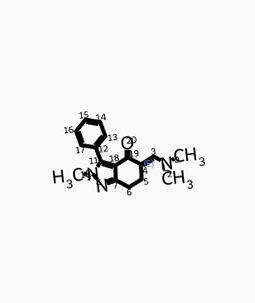 CN(C)/C=C1\CCc2nn(C)c(-c3ccccc3)c2C1=O